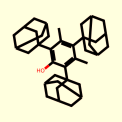 Cc1c(C23CC4CC(CC(C4)C2)C3)c(C)c(C23CC4CC(CC(C4)C2)C3)c(O)c1C12CC3CC(CC(C3)C1)C2